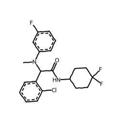 CN(c1cccc(F)c1)C(C(=O)NC1CCC(F)(F)CC1)c1ccccc1Cl